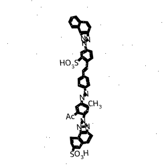 CC(=O)c1cc(N=Nc2ccc(C=Cc3ccc(-n4n5c6ccc7ccccc7c6n45)cc3S(=O)(=O)O)cc2)c(C)cc1-n1n2c3ccc4cc(S(=O)(=O)O)ccc4c3n12